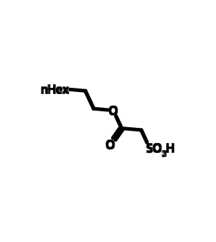 CCCCCCCCOC(=O)CS(=O)(=O)O